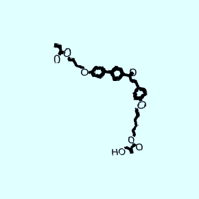 C=CC(=O)OCCCCOc1ccc(-c2ccc(C(=O)/C=C/c3ccc(OCCCCCCOC(=O)C(=C)CO)cc3)cc2)cc1